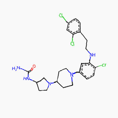 NC(=O)NC1CCN(C2CCN(c3ccc(Cl)c(NCCc4ccc(Cl)cc4Cl)c3)CC2)C1